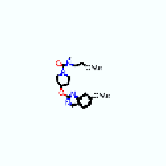 COCCN(C)C(=O)N1CCC(Oc2ncc3ccc(OC)cc3n2)CC1